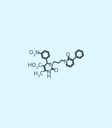 CC1=C(C(=O)O)C(c2cccc([N+](=O)[O-])c2)N(CCCn2cccc(-c3ccccc3)c2=O)C(=O)N1